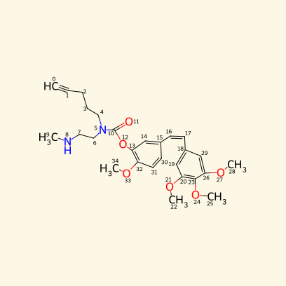 C#CCCCN(CCNC)C(=O)Oc1cc(/C=C\c2cc(OC)c(OC)c(OC)c2)ccc1OC